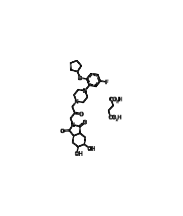 O=C(CN1CCN(c2cc(F)ccc2OC2CCCC2)CC1)CN1C(=O)C2CC(O)C(O)CC2C1=O.O=C(O)CCC(=O)O